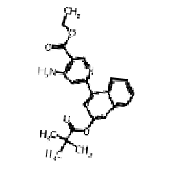 CCOC(=O)c1cnc(-c2cc(OC(=O)C(C)(C)C)cc3ccccc23)cc1N